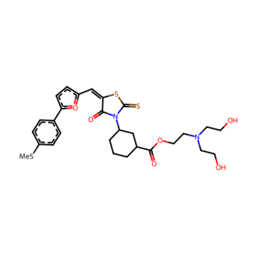 CSc1ccc(-c2ccc(C=C3SC(=S)N(C4CCCC(C(=O)OCCN(CCO)CCO)C4)C3=O)o2)cc1